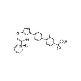 CC[C@]1(C(=O)Nc2c(Cl)cnn2-c2ccc(-c3ccc(C4(C(=O)O)CC4)cc3C)cc2)C=CC=CC1